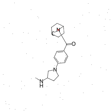 CNC1CCN(c2ccc(C(=O)N3CC4CCC(CC4)C3)cc2)C1